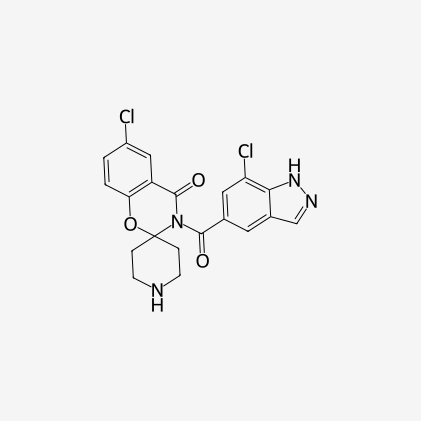 O=C(c1cc(Cl)c2[nH]ncc2c1)N1C(=O)c2cc(Cl)ccc2OC12CCNCC2